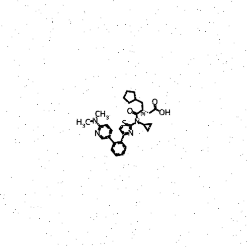 CN(C)c1ccc(-c2ccccc2-c2csc(N(C(=O)[C@@H](CC(=O)O)CC3CCCC3)C3CC3)n2)cn1